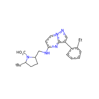 CCc1ccccc1-c1cnn2ccc(NCC3CCC(C(C)(C)C)N3C(=O)O)nc12